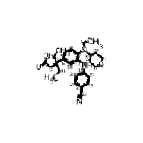 CCN(c1ccc(C(CC)(CC)CC(=O)O)cc1Nc1ccc(C#N)cc1)C1CCOCC1